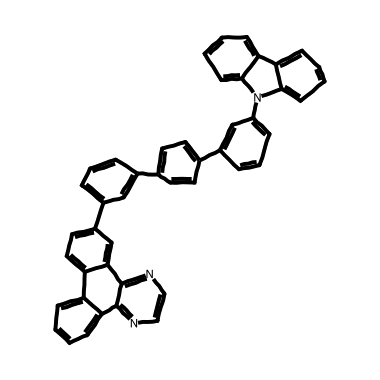 c1cc(-c2ccc(-c3cccc(-n4c5ccccc5c5ccccc54)c3)cc2)cc(-c2ccc3c4ccccc4c4nccnc4c3c2)c1